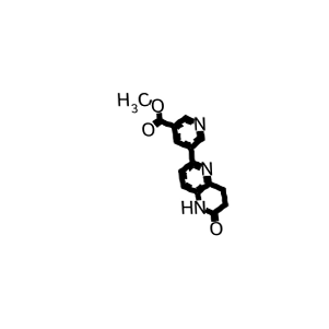 COC(=O)c1cncc(-c2ccc3c(n2)CCC(=O)N3)c1